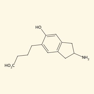 NC1Cc2cc(O)c(CCCC(=O)O)cc2C1